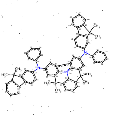 CC1(C)c2ccccc2-c2ccc(N(c3ccccc3)c3cc4c5c(c3)c3cc(N(c6ccccc6)c6ccc7c(c6)C(C)(C)c6ccccc6-7)cc6c3n5-c3c(cccc3C6(C)C)C4(C)C)cc21